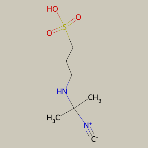 [C-]#[N+]C(C)(C)NCCCS(=O)(=O)O